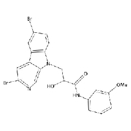 COc1cccc(NC(=O)C(O)Cn2c3ccc(Br)cc3c3cc(Br)ncc32)c1